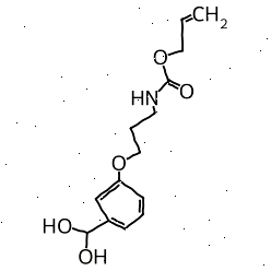 C=CCOC(=O)NCCCOc1cccc(C(O)O)c1